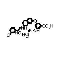 CCCNc1cc(Oc2ccc3c(c2)C[C@@H](NC[C@@H](O)c2cccc(Cl)c2)CC3)cc(C(=O)O)c1.Cl.Cl